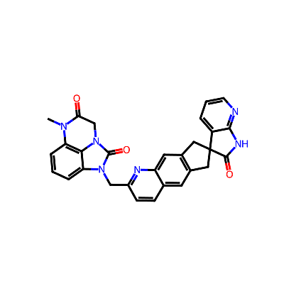 CN1C(=O)Cn2c(=O)n(Cc3ccc4cc5c(cc4n3)CC3(C5)C(=O)Nc4ncccc43)c3cccc1c32